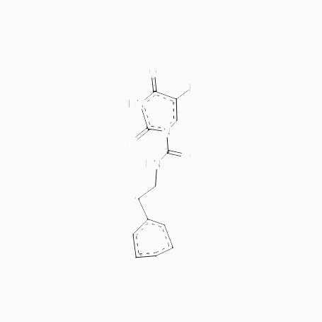 O=C(NCCc1ccccc1)n1cc(F)c(=O)[nH]c1=O